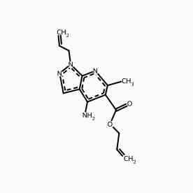 C=CCOC(=O)c1c(C)nc2c(cnn2CC=C)c1N